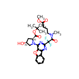 COC(=O)CCCN(C)C(=O)C(F)(F)c1nc(N2C[C@@H](O)C[C@H]2C(=O)OC(C)(C)C)c2oc3ccccc3c2n1